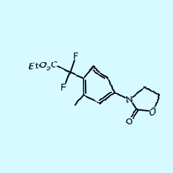 CCOC(=O)C(F)(F)c1ccc(N2CCOC2=O)cc1C